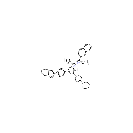 C/C(=C\C=C(/N)C1=CC(c2ccc(-c3ccc4c(c3)CCC=C4)cc2)=CC(C2=CC=C(C3CCCCC3)CC2)N1)C1C=c2ccccc2=CC1